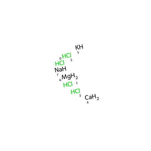 Cl.Cl.Cl.Cl.[CaH2].[KH].[MgH2].[NaH]